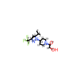 CC(C)c1cc(C(F)(F)F)nn1C1CCN(C(=O)CO)CC1